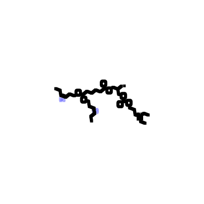 [CH2]C(COC(=O)CCCCC(OCC/C=C\CC)OCC/C=C\CC)COC(=O)OCCCN(CC)CC